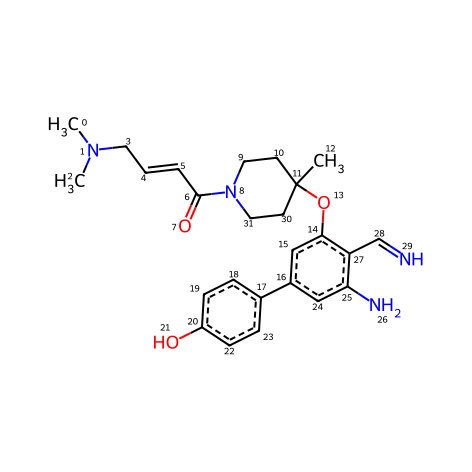 CN(C)C/C=C/C(=O)N1CCC(C)(Oc2cc(-c3ccc(O)cc3)cc(N)c2C=N)CC1